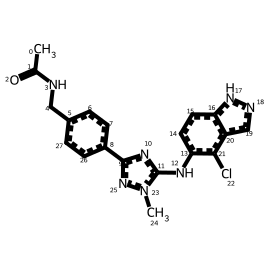 CC(=O)NCc1ccc(-c2nc(Nc3ccc4[nH]ncc4c3Cl)n(C)n2)cc1